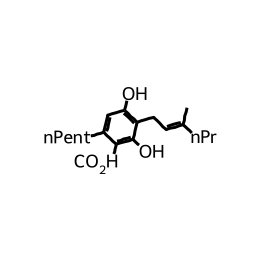 CCCCCc1cc(O)c(CC=C(C)CCC)c(O)c1C(=O)O